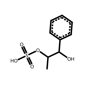 CC(OS(=O)(=O)O)C(O)c1ccccc1